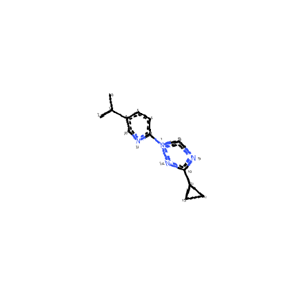 CC(C)c1ccc(-n2cnc(C3CC3)n2)nc1